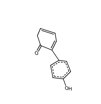 O=C1CC=CC=C1c1ccc(O)cc1